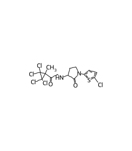 CC1(C(=O)CNC2CCN(c3ccc(Cl)s3)C2=O)C(Cl)(Cl)C1(Cl)Cl